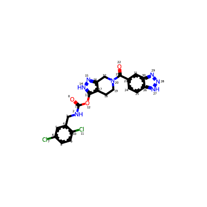 O=C(NCc1cc(Cl)ccc1Cl)Oc1[nH]nc2c1CCN(C(=O)c1ccc3[nH]nnc3c1)C2